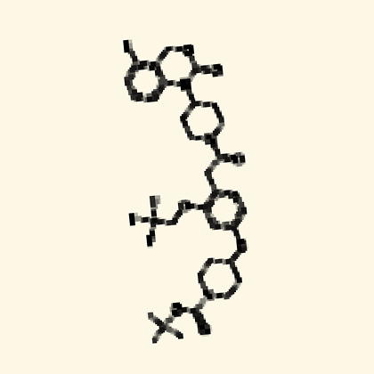 CC(C)(C)OC(=O)N1CCC(Oc2ccc(CC(=O)N3CCC(N4C(=O)OCc5c(F)cccc54)CC3)c(OCC(F)(F)F)c2)CC1